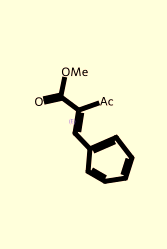 COC(=O)/C(=C/c1ccccc1)C(C)=O